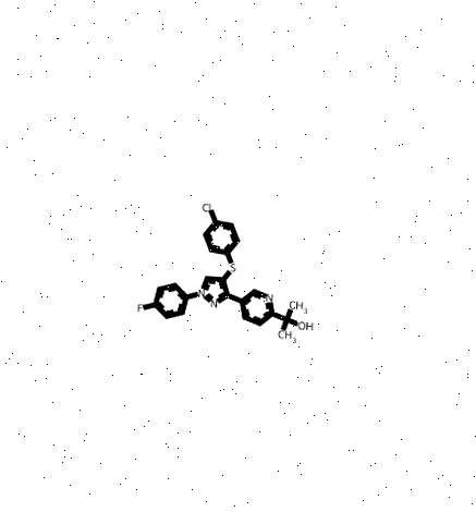 CC(C)(O)c1ccc(-c2nn(-c3ccc(F)cc3)cc2Sc2ccc(Cl)cc2)cn1